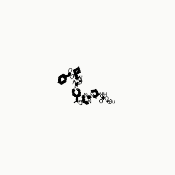 C[C@H](Oc1cnc(N2CC[C@@H](NC(=O)OC(C)(C)C)C2)nc1)C1CCN(c2nc(C3(OC(=O)c4ccccc4)CCC3)no2)CC1